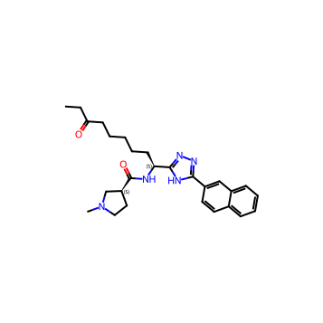 CCC(=O)CCCCC[C@H](NC(=O)[C@H]1CCN(C)C1)c1nnc(-c2ccc3ccccc3c2)[nH]1